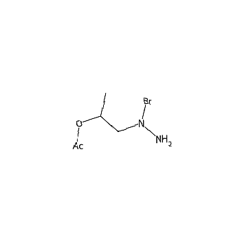 CC(=O)OC(C)CN(N)Br